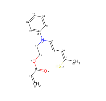 C=CC(=O)OCCN(/C=C/C=C(/C)S)c1ccccc1